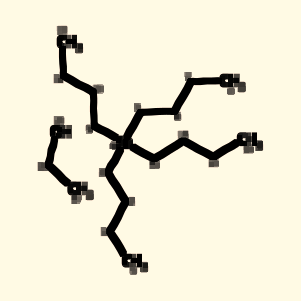 CCC[CH2][Sn]([CH2]CCC)([CH2]CCC)[CH2]CCC.CCO